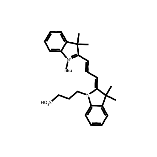 CCCC[N+]1=C(C=C/C=C2\N(CCCS(=O)(=O)O)c3ccccc3C2(C)C)C(C)(C)c2ccccc21